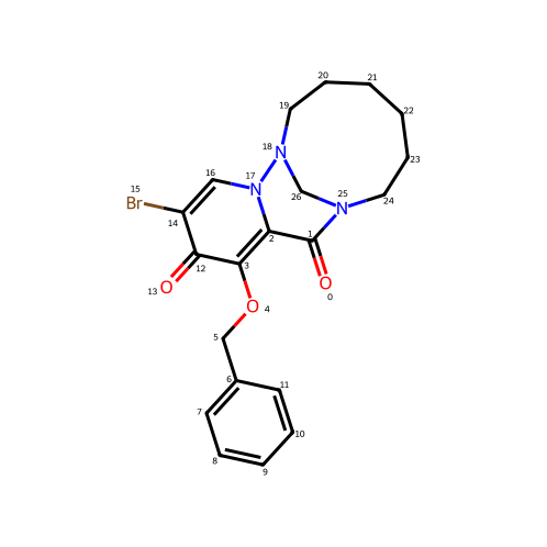 O=C1c2c(OCc3ccccc3)c(=O)c(Br)cn2N2CCCCCCN1C2